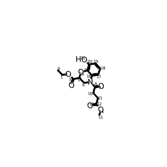 CCOC(=O)C1CN(C(=O)CCC(=O)OC)c2cccc(O)c2O1